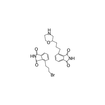 O=C1NC(=O)c2c(CCCBr)cccc21.O=C1NC(=O)c2c(CCCC3CNCCO3)cccc21